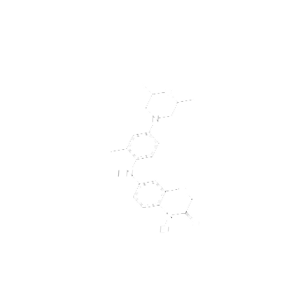 [CH2]CN1C(=O)COc2cc(Nc3ccc(N4CC(C)OC(C)C4)cc3C)ccc21